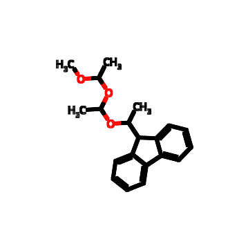 COC(C)OC(C)OC(C)C1c2ccccc2-c2ccccc21